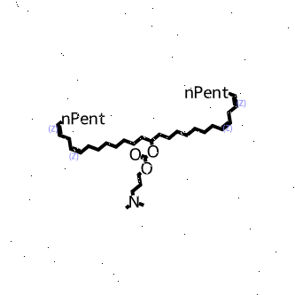 CCCCC/C=C\C/C=C\CCCCCCCC(CCCCCCC/C=C\C/C=C\CCCCC)OC(=O)OCCCN(C)C